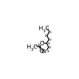 CCCCC(CBr)OC(C)=O